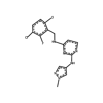 Cn1cc(Nc2nccc(NCc3c(Cl)ccc(Cl)c3F)n2)cn1